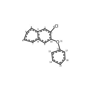 Clc1cc2ccccc2[c]c1Oc1ccccc1